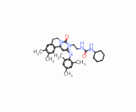 Cc1cc(C)c(/N=c2\cc3n(c(=O)n2CCNC(=O)NC2CCCCC2)CCc2cc(C)c(C)cc2-3)c(C)c1